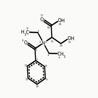 CC[N+](CC)(C(=O)c1ccccc1)C(CO)C(=O)O